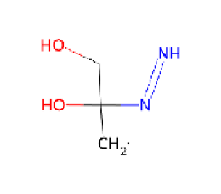 [CH2]C(O)(CO)N=N